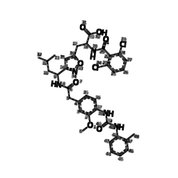 COc1cc(CC(=O)NC(CC(C)C)c2cc(CC(NC(=O)c3c(Cl)cccc3Cl)C(=O)O)on2)ccc1NC(=O)Nc1ccccc1C